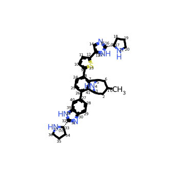 CC1CC2NC(C1)c1c(-c3ccc(-c4cnc([C@@H]5CCCN5)[nH]4)s3)ccc(-c3ccc4nc([C@@H]5CCCN5)[nH]c4c3)c12